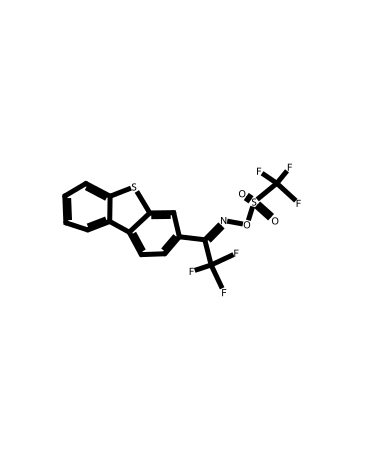 O=S(=O)(ON=C(c1ccc2c(c1)sc1ccccc12)C(F)(F)F)C(F)(F)F